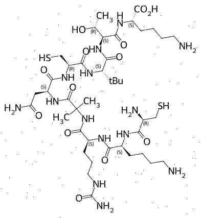 C[C@@H](O)[C@H](NC(=O)[C@@H](NC(=O)[C@H](CS)NC(=O)[C@H](CC(N)=O)NC(=O)C(C)(C)NC(=O)[C@H](CCCNC(N)=O)NC(=O)[C@H](CCCCN)NC(=O)[C@@H](N)CS)C(C)(C)C)C(=O)N[C@@H](CCCCN)C(=O)O